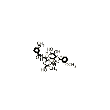 COc1cccc(C(=O)NCC(O)C(OC(CO)[C@@H](C)O)S[C@@H]2O[C@H](CO)C(O)C(NC(=O)c3cccc(OC)c3)C2O)c1